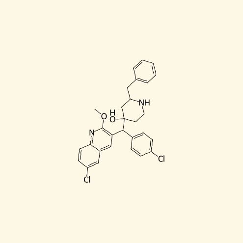 COc1nc2ccc(Cl)cc2cc1C(c1ccc(Cl)cc1)C1(O)CCNC(Cc2ccccc2)C1